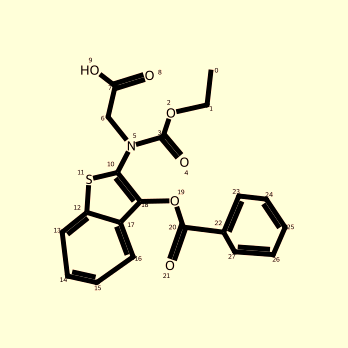 CCOC(=O)N(CC(=O)O)c1sc2ccccc2c1OC(=O)c1ccccc1